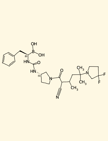 CC(CC(C)(C)N1CCC(F)(F)C1)C(C#N)C(=O)N1CC[C@H](NC(=O)N[C@@H](Cc2ccccc2)B(O)O)C1